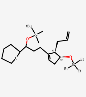 C=CC[C@@H]1C(CCC(O[Si](C)(C)C(C)(C)C)C2CCCCC2)=CC[C@@H]1O[Si](CC)(CC)CC